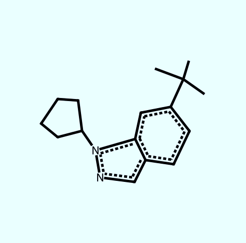 CC(C)(C)c1ccc2cnn(C3CCCC3)c2c1